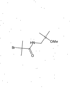 CO[Si](C)(C)CNC(=O)C(C)(C)Br